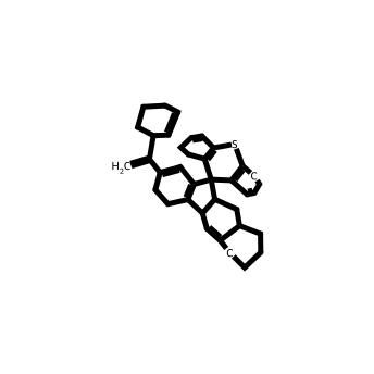 C=C(C1=CC2=C(CC1)C1C=C3CCCCC3CC1C21C2=C(CCC=C2)SC2=C1CCC=C2)C1C=CCCC1